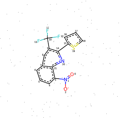 O=[N+]([O-])c1cccc2cc(C(F)(F)F)c(-c3cccs3)nc12